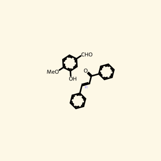 COc1ccc(C=O)cc1O.O=C(/C=C/c1ccccc1)c1ccccc1